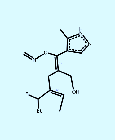 C=NO/C(=C(/CO)C/C(=C/C)C(F)CC)c1cn[nH]c1C